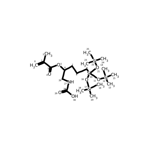 C=C(C)C(=O)OC(CCC[Si](O[Si](C)(C)C)(O[Si](C)(C)C)O[Si](C)(C)C)CNC(=O)O